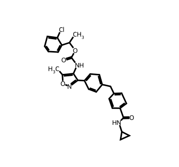 Cc1onc(-c2ccc(Cc3ccc(C(=O)NC4CC4)cc3)cc2)c1NC(=O)OC(C)c1ccccc1Cl